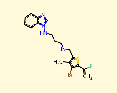 C=C(F)c1sc(CNCCCNn2cnc3ccccc32)c(C)c1Br